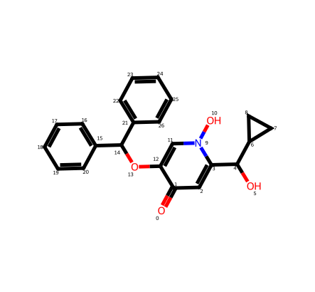 O=c1cc(C(O)C2CC2)n(O)cc1OC(c1ccccc1)c1ccccc1